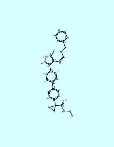 CCOC(=O)C1(c2ccc(-c3ccc(-c4onc(C)c4/C=C\CCc4ccccc4)cc3)cc2)CC1